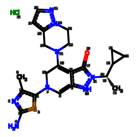 Cc1nc(N)sc1N1C=c2[nH]n([C@@H](C)C3CC3)c(=O)c2=C(N2CCn3nccc3C2)C1.Cl